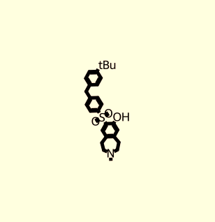 CN1CCc2cc(O)c(S(=O)(=O)c3ccc(Cc4ccc(C(C)(C)C)cc4)cc3)cc2CC1